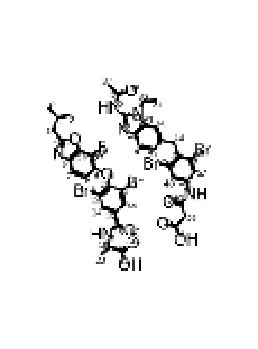 CC(C)Cc1nc2ccc(Oc3c(Br)cc(C(=O)NC(C)C(=O)O)cc3Br)c(F)c2o1.CCn1c(NC(C)=O)nc2ccc(Cc3c(Br)cc(NC(=O)CC(=O)O)cc3Br)cc21